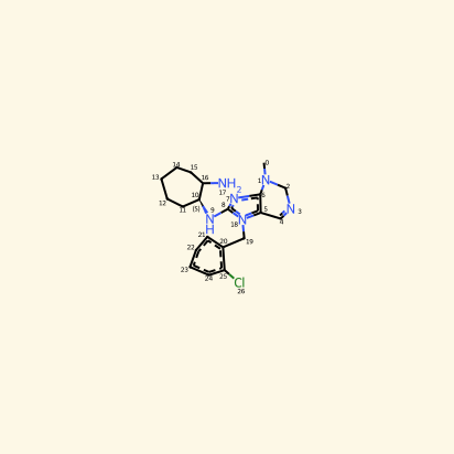 CN1CN=Cc2c1nc(N[C@H]1CCCCCC1N)n2Cc1ccccc1Cl